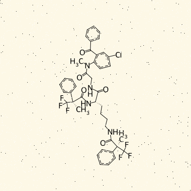 CN(C(=O)CNC(=O)[C@H](CCCCNC(=O)[C@](C)(c1ccccc1)C(F)(F)F)NC(=O)[C@](C)(c1ccccc1)C(F)(F)F)c1ccc(Cl)cc1C(=O)c1ccccc1